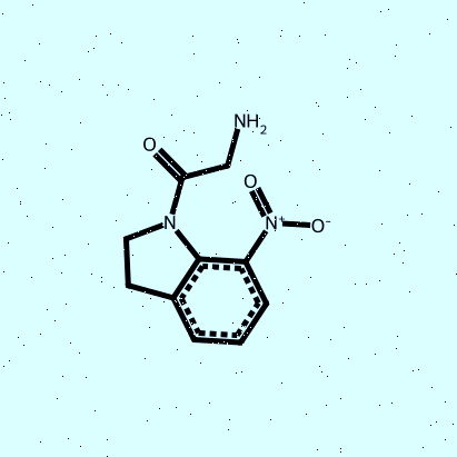 NCC(=O)N1CCc2cccc([N+](=O)[O-])c21